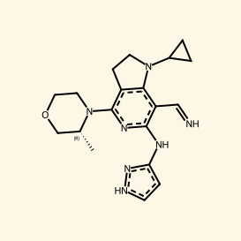 C[C@@H]1COCCN1c1nc(Nc2cc[nH]n2)c(C=N)c2c1CCN2C1CC1